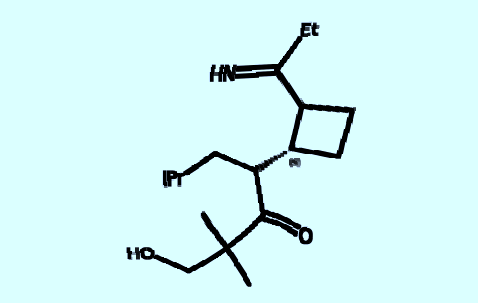 CCC(=N)C1CC[C@@H]1C(CC(C)C)C(=O)C(C)(C)CO